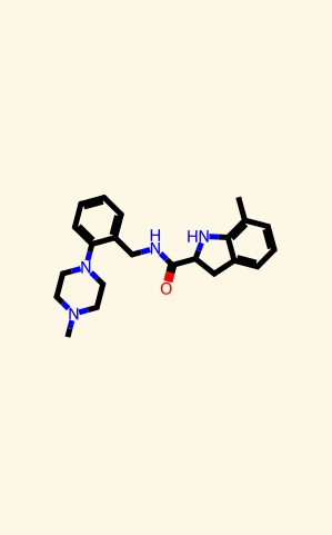 Cc1cccc2c1NC(C(=O)NCc1ccccc1N1CCN(C)CC1)C2